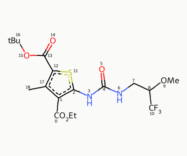 CCOC(=O)c1c(NC(=O)NCC(OC)C(F)(F)F)sc(C(=O)OC(C)(C)C)c1C